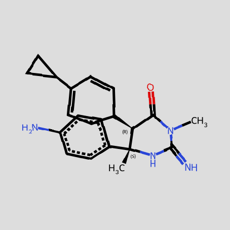 CN1C(=N)N[C@](C)(c2ccc(N)cc2)[C@@H](C2C=CC(C3CC3)=CC2)C1=O